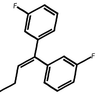 Fc1cccc(C(=CCCl)c2cccc(F)c2)c1